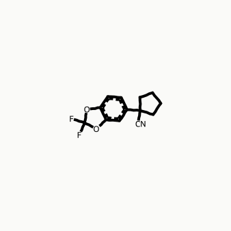 N#CC1(c2ccc3c(c2)OC(F)(F)O3)CCCC1